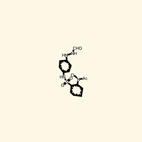 CC(=O)N(Cl)c1ccccc1S(=O)(=O)Nc1ccc(NNC=O)cc1